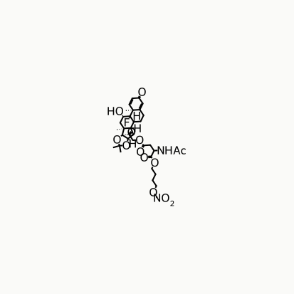 CC(=O)NC(CC(=O)OCC(=O)[C@@]12OC(C)(C)O[C@@H]1C[C@H]1[C@@H]3CCC4=CC(=O)C=C[C@]4(C)[C@@]3(F)[C@@H](O)C[C@@]12C)C(=O)OCCCCO[N+](=O)[O-]